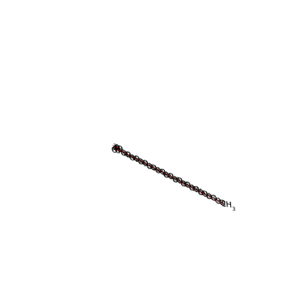 COCCOCCOCCOCCOCCOCCOCCOCCOCCOCCOCCOCCOCCOCCOCCOCCOCCOCCOCCOCCOCCOCCOCCOCCC(=O)ON1OCCC1=O